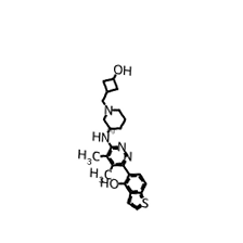 Cc1c(N[C@@H]2CCCN(CC3CC(O)C3)C2)nnc(-c2ccc3sccc3c2O)c1C